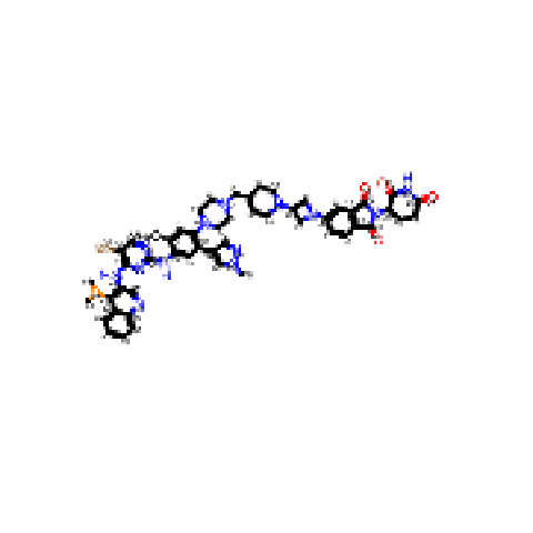 COc1cc(N2CCN(CC3CCN(C4CN(c5ccc6c(c5)C(=O)N(C5CCC(=O)NC5=O)C6=O)C4)CC3)CC2)c(-c2cnn(C)c2)cc1Nc1ncc(Br)c(Nc2cnc3ccccc3c2P(C)C)n1